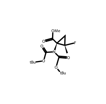 COC(=O)[C@]1(N(C(=O)OC(C)(C)C)C(=O)OC(C)(C)C)C[C@]1(C)F